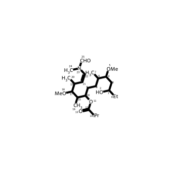 CCC(O)CC(OC)C(C)CCC(OC(=O)C(C)C)C(C)C(OC)C(C)C=CN(C)C=O